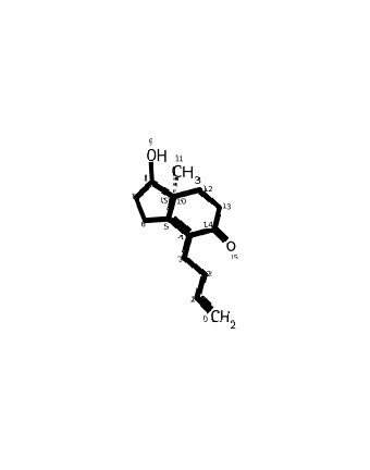 C=CCCC1=C2CCC(O)[C@@]2(C)CCC1=O